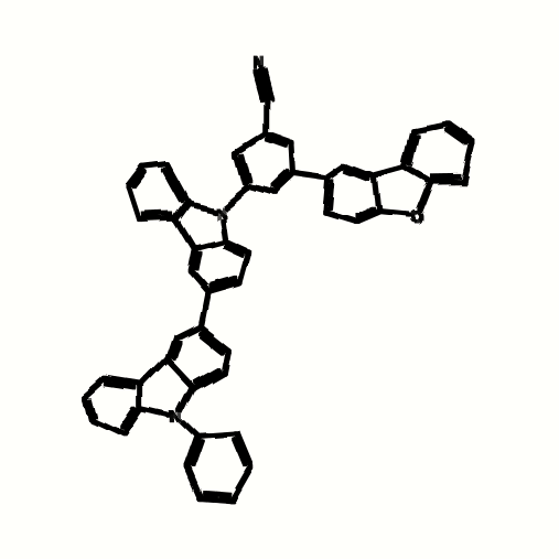 N#Cc1cc(-c2ccc3oc4ccccc4c3c2)cc(-n2c3ccccc3c3cc(-c4ccc5c(c4)c4ccccc4n5-c4ccccc4)ccc32)c1